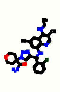 CC(C)(C)CNc1c(C#N)cnc2c(N[C@H](c3cn(C4(C(N)=O)CCOCC4)nn3)c3ccccc3Cl)cc(C#N)cc12